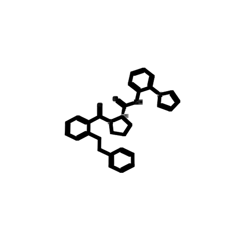 O=C(Nc1ccccc1-n1cccc1)[C@@H]1CCCN1C(=O)c1ccccc1CCc1ccccc1